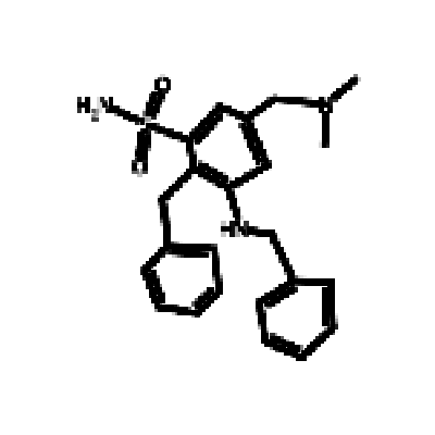 CN(C)Cc1cc(NCc2ccccc2)c(Cc2ccccc2)c(S(N)(=O)=O)c1